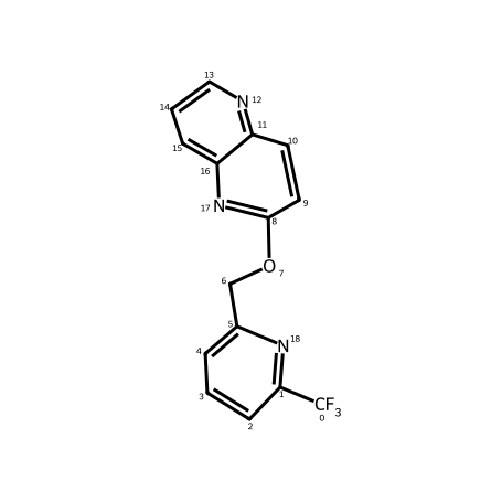 FC(F)(F)c1cccc(COc2ccc3ncccc3n2)n1